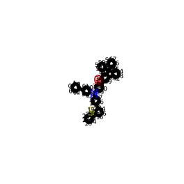 c1ccc(-c2ccc(N(c3ccc(-c4cccc5c4sc4ccccc45)cc3)c3ccc4c(c3)oc3cc5c(cc34)-c3ccccc3C5(c3ccccc3)c3ccccc3)cc2)cc1